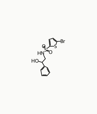 O=S(=O)(NCC(O)c1ccccc1)c1ccc(Br)s1